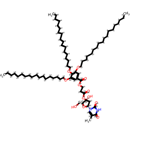 CCCCCCCCCCCCCCCCCCOc1cc(C(=O)OCCC(=O)O[C@]2(O)C[C@H](n3cc(C)c(=O)[nH]c3=O)O[C@@H]2CO)cc(OCCCCCCCCCCCCCCCCCC)c1OCCCCCCCCCCCCCCCCCC